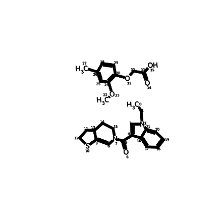 CCn1cc(C(=O)N2C=C3SCCC3CC2)c2ccccc21.COc1cc(C)ccc1OCC(=O)O